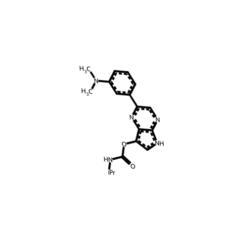 CC(C)NC(=O)Oc1c[nH]c2ncc(-c3cccc(N(C)C)c3)nc12